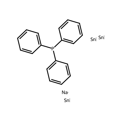 [Na].[Sn].[Sn].[Sn].c1ccc(P(c2ccccc2)c2ccccc2)cc1